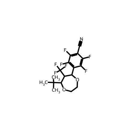 CC(C)(C)C1OCCOC(c2c(F)c(F)c(C#N)c(F)c2F)C1C(F)(F)F